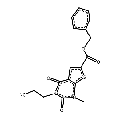 Cn1c(=O)n(CCC#N)c(=O)c2cc(C(=O)OCc3ccccc3)sc21